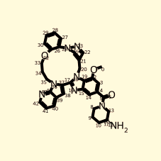 COc1cc(C(=O)N2CCC[C@@H](N)C2)cc2nc3n(c12)Cc1cnn(c1)-c1ccccc1OCCCn1c-3cc2cccnc21